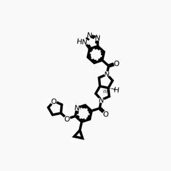 O=C(c1cnc(OC2CCOC2)c(C2CC2)c1)N1CC2CN(C(=O)c3ccc4[nH]nnc4c3)C[C@H]2C1